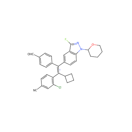 N#Cc1ccc(/C(=C(\c2ccc(C=O)cc2)c2ccc3c(c2)c(F)nn3C2CCCCO2)C2CCC2)c(Cl)c1